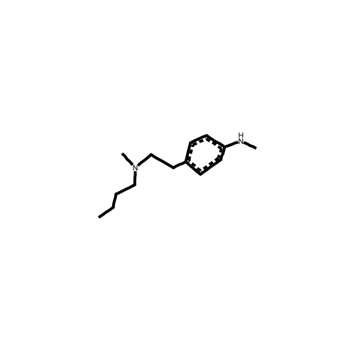 CCCCN(C)CCc1ccc(NC)cc1